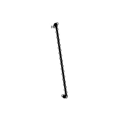 O=C(CCOCCOCCOCCOCCOCCOCCOCCOCCOCCOCCOCCOCCOCCOCCOCCOCCOCCOCCOCCOCCOCCOCCOCCOCCOCCC(O)ON1C(=O)CCC1=O)ON1C(=O)CCC1=O